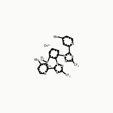 CP(C)c1cccc(-n2nc(C(F)(F)F)nc2-c2cc(C(C)(C)C)ccn2)c1-n1nc(C(F)(F)F)nc1-c1cc(C(C)(C)C)ccn1.[Os+2]